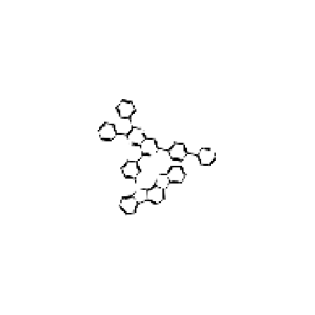 c1ccc(-c2nc3cc(-c4ccc(-c5cccnc5)cc4)nc(-c4cccc(-n5c6ccccc6c6ccc7c8ccccc8oc7c65)c4)c3nc2-c2ccccc2)cc1